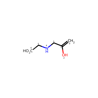 C=C(O)CNCC(=O)O